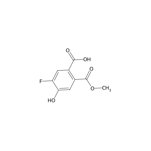 COC(=O)c1cc(O)c(F)cc1C(=O)O